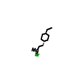 CC[C@H]1CC[C@H](C[CH2][Mg][Br])CC1